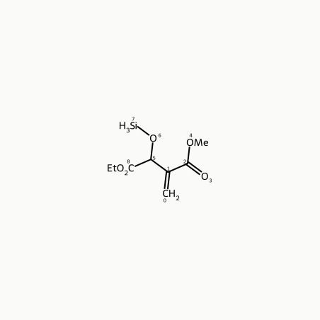 C=C(C(=O)OC)C(O[SiH3])C(=O)OCC